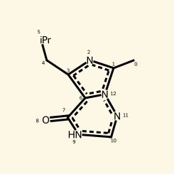 Cc1nc(CC(C)C)c2c(=O)[nH]cnn12